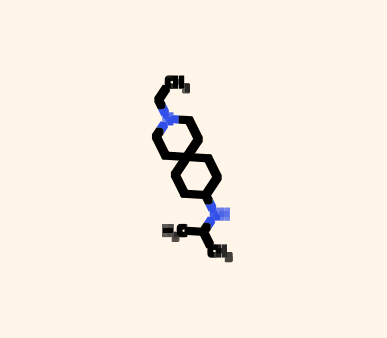 CCN1CCC2(CCC(NC(C)C)CC2)CC1